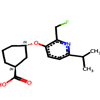 CC(C)c1ccc(O[C@H]2CCC[C@H](C(=O)O)C2)c(CF)n1